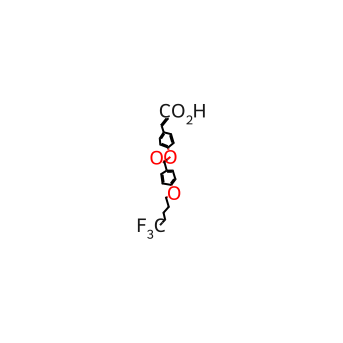 O=C(O)C=Cc1ccc(OC(=O)c2ccc(OCCCCC(F)(F)F)cc2)cc1